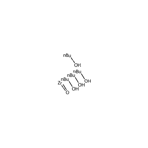 CCCCO.CCCCO.CCCCO.CCCCO.[O]=[Zr]